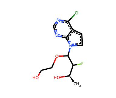 C[C@@H](O)C(F)C(OCCO)n1ccc2c(Cl)ncnc21